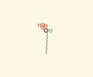 CCCCCCCCCCCCc1ccc(S(=O)(=O)O)cc1Cl